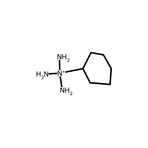 N[N+](N)(N)C1CCCCC1